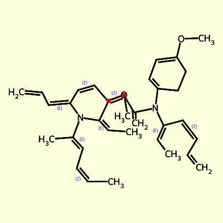 C=C/C=C\C(=C/C)N(C(=C)/C=C\C(=C/C)N(/C(C)=C/C=C\C)C(/C=C\COC)=C/C=C)C1=CC=C(OC)CC1